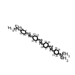 CN(C)c1ccc(N=Nc2ccc(/N=N/c3ccc(N=Nc4ccc(N(C)C)cc4)cc3)cc2)cc1